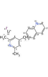 Cc1cc(C)nc(C)c1.[I-].[Li+].c1ccc2ncccc2c1